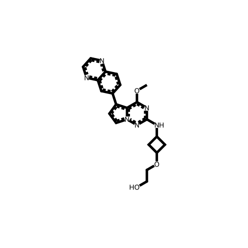 COc1nc(NC2CC(OCCO)C2)nn2ccc(-c3ccc4nccnc4c3)c12